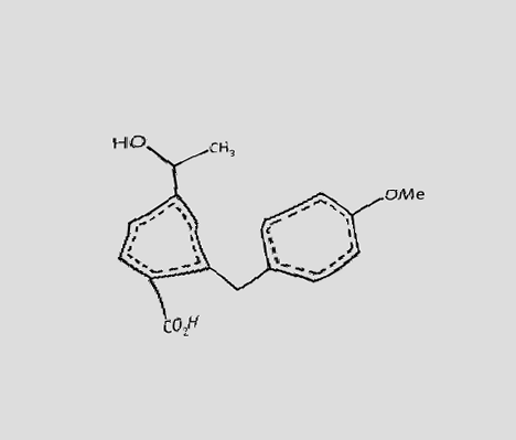 COc1ccc(Cc2cc(C(C)O)ccc2C(=O)O)cc1